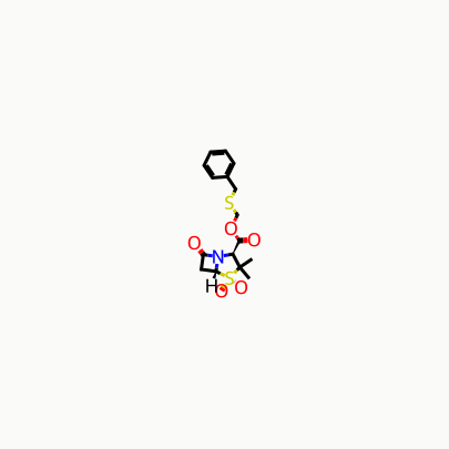 CC1(C)[C@H](C(=O)OCSCc2ccccc2)N2C(=O)C[C@H]2S1(=O)=O